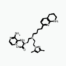 CC(=O)[C@H](CCN(CCCCc1ccc2c(n1)NCCC2)CCn1nc(C)cc1C)Nc1c(N)ncc[n+]1O